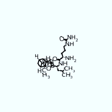 CC(C)C[C@H](NC(=O)[C@@H](N)CCCNC(N)=O)B1O[C@@H]2C[C@@H]3C[C@@H](C3(C)C)[C@]2(C)O1